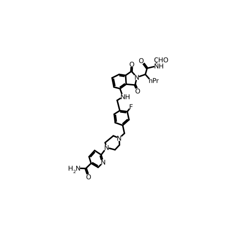 CCCC(C(=O)NC=O)N1C(=O)c2cccc(NCc3ccc(CN4CCN(c5ccc(C(N)=O)cn5)CC4)cc3F)c2C1=O